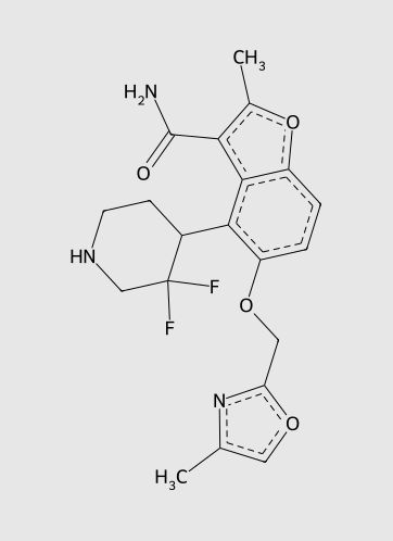 Cc1coc(COc2ccc3oc(C)c(C(N)=O)c3c2C2CCNCC2(F)F)n1